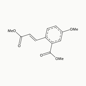 COC(=O)C=Cc1ccc(OC)cc1C(=O)OC